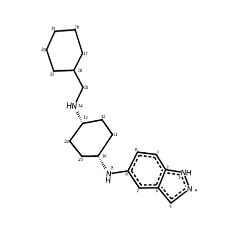 c1cc2[nH]ncc2cc1N[C@H]1CC[C@@H](NCC2CCCCC2)CC1